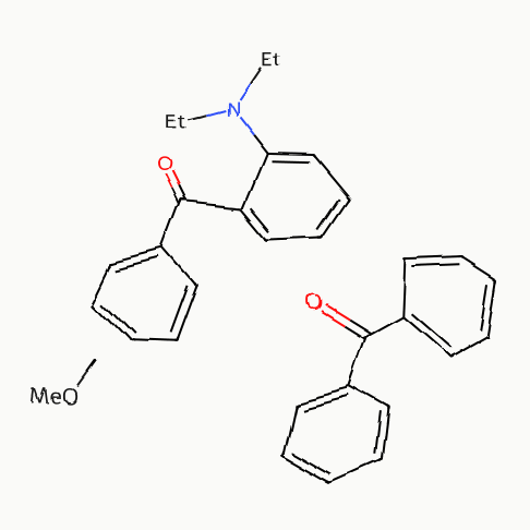 CCN(CC)c1ccccc1C(=O)c1ccccc1.COC.O=C(c1ccccc1)c1ccccc1